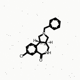 O=C1NC[C@@H]2CN(Cc3ccccc3)C[C@H]2c2ccc(Cl)cc21